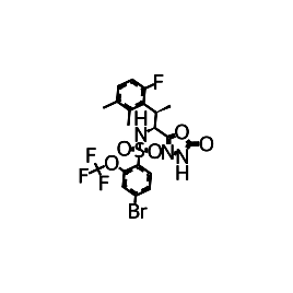 Cc1ccc(F)c([C@@H](C)[C@H](NS(=O)(=O)c2ccc(Br)cc2OC(F)(F)F)c2n[nH]c(=O)o2)c1C